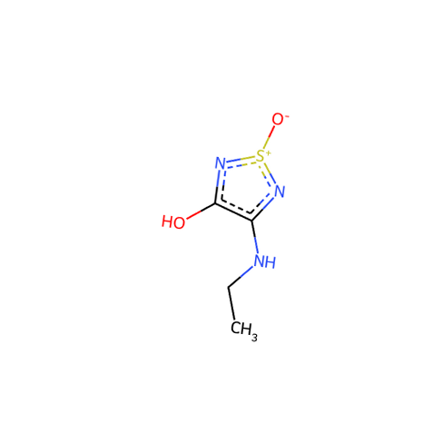 CCNc1n[s+]([O-])nc1O